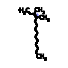 [CH2]C/C(C)=C(/C)CCCCCCCCCC